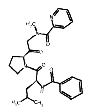 CC(C)C[C@H](NC(=O)c1ccccc1)C(=O)N1CCC[C@H]1C(=O)CN(C)C(=O)c1ccccn1